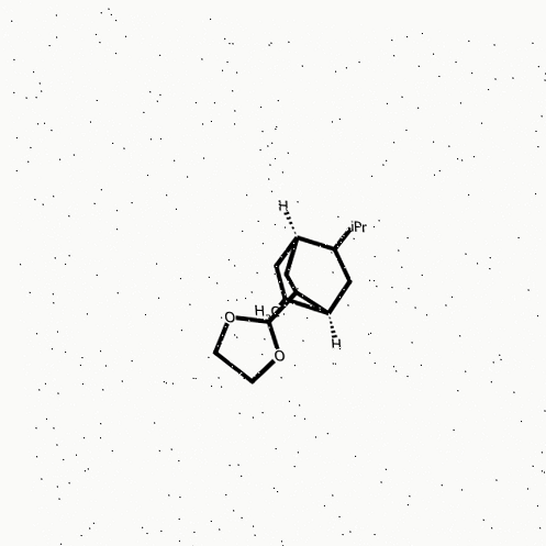 CC(C)C1C[C@H]2C(C)C[C@@H]1CC2C1OCCO1